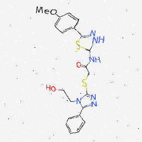 COc1ccc(C2=NNC(NC(=O)CSc3nnc(-c4ccccc4)n3CCO)S2)cc1